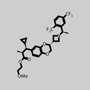 COCCOC(=O)[C@@H](C)[C@H](c1ccc2c(c1)O[C@H](C1CN([C@H](C)c3cc(C(F)(F)F)ccc3C(F)(F)F)C1)CO2)C1CC1